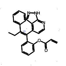 C=CC(=O)Oc1ccccc1/C(=C(\CC)c1ccccc1)c1ccnc2[nH]ncc12